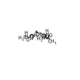 CCc1cc(N)c(/C=C(\N)CN2CCN(c3ccc(C(=O)NC)nc3)C3CC32)[nH]c1=O